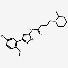 COc1ccc(Cl)cc1-c1cc(NC(=O)CCCN2CCCCC2C)[nH]n1